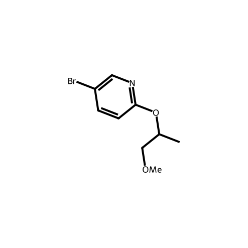 COCC(C)Oc1ccc(Br)cn1